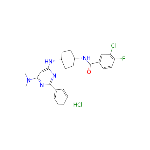 CN(C)c1cc(N[C@H]2CC[C@@H](NC(=O)c3ccc(F)c(Cl)c3)CC2)nc(-c2ccccc2)n1.Cl